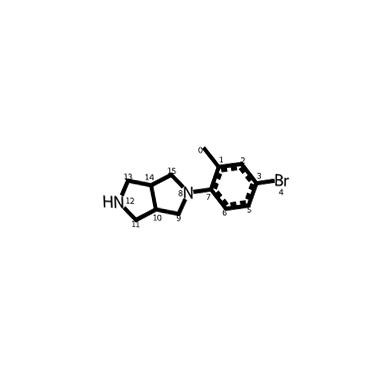 Cc1cc(Br)ccc1N1CC2CNCC2C1